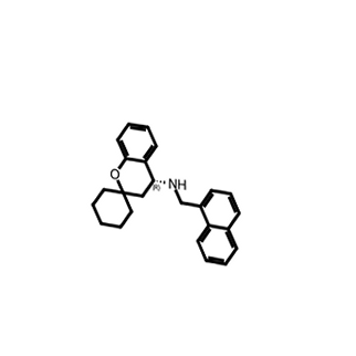 c1ccc2c(c1)OC1(CCCCC1)C[C@H]2NCc1cccc2ccccc12